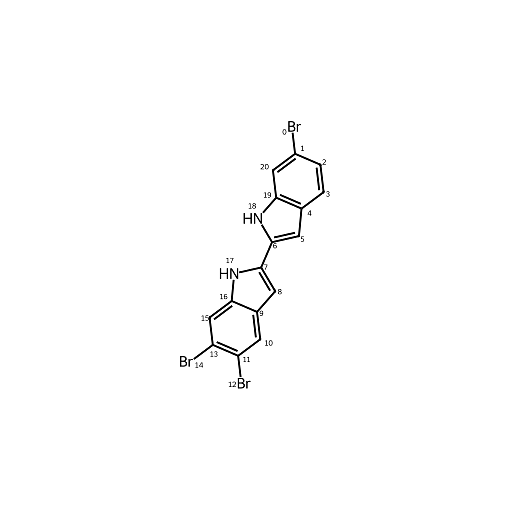 Brc1ccc2cc(-c3cc4cc(Br)c(Br)cc4[nH]3)[nH]c2c1